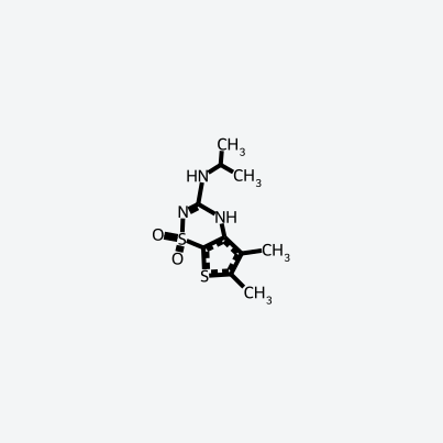 Cc1sc2c(c1C)NC(NC(C)C)=NS2(=O)=O